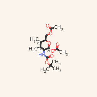 CC(=O)OCC1O[C@H](OC(C)=O)C(NC(=O)OC(C)(C)C)[C@@H](C)[C@@H]1C